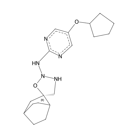 c1nc(NN2NC[C@]3(CC4CCC3CC4)O2)ncc1OC1CCCC1